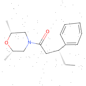 CC[C@H](CC(=O)N1C[C@@H](C)O[C@@H](C)C1)c1ccccc1